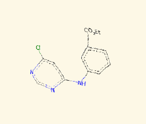 CCOC(=O)c1cccc(Nc2cc(Cl)ncn2)c1